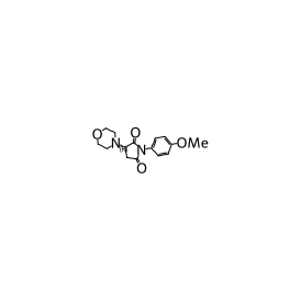 COc1ccc(N2C(=O)C[C@@H](N3CCOCC3)C2=O)cc1